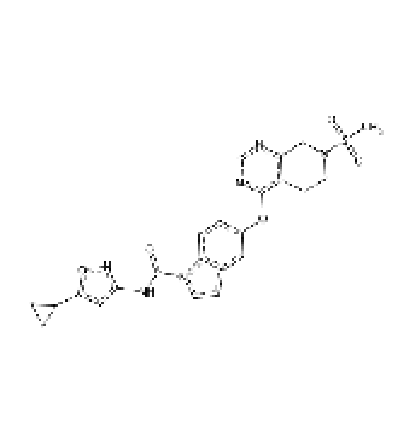 CS(=O)(=O)N1CCc2c(ncnc2Oc2ccc3c(ccn3C(=O)Nc3cc(C4CC4)on3)c2)C1